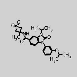 CC(C)Oc1cccc(-n2c(=O)n(C(C)C)c3cc(C(=O)NC4(C)CS(=O)(=O)C4)ccc32)c1